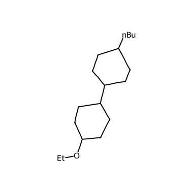 CCCCC1CCC(C2CCC(OCC)CC2)CC1